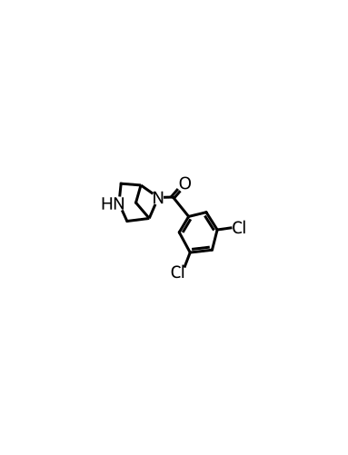 O=C(c1cc(Cl)cc(Cl)c1)N1C2CNCC1C2